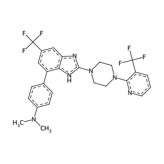 CN(C)c1ccc(-c2cc(C(F)(F)F)cc3nc(N4CCN(c5ncccc5C(F)(F)F)CC4)[nH]c23)cc1